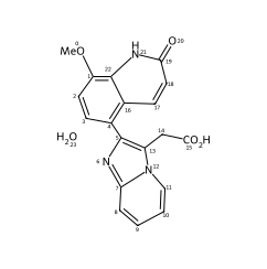 COc1ccc(-c2nc3ccccn3c2CC(=O)O)c2ccc(=O)[nH]c12.O